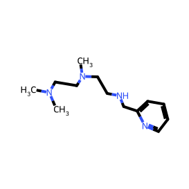 CN(C)CCN(C)CCNCc1ccccn1